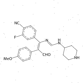 COc1ccc(/C(C=O)=C(/N=C/NC2CCNCC2)c2ccc(C#N)c(F)c2)cc1